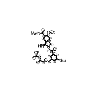 CCOc1cc2c(cc1C(=O)NC)C(=N)N(CC(=O)c1cc(COCC(=O)OC(=O)C(F)(F)F)cc(C(C)(C)C)c1)C2